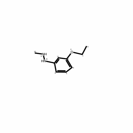 CCOc1cccc(NNC)c1